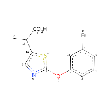 CCc1cccc(Oc2ncc(C(C)C(=O)O)s2)c1